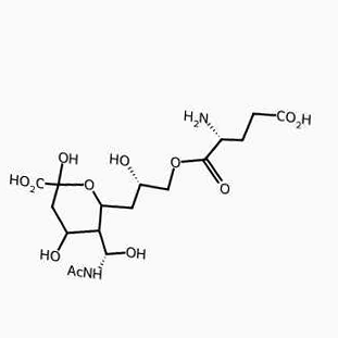 CC(=O)N[C@@H](O)C1C(O)CC(O)(C(=O)O)OC1C[C@H](O)COC(=O)[C@H](N)CCC(=O)O